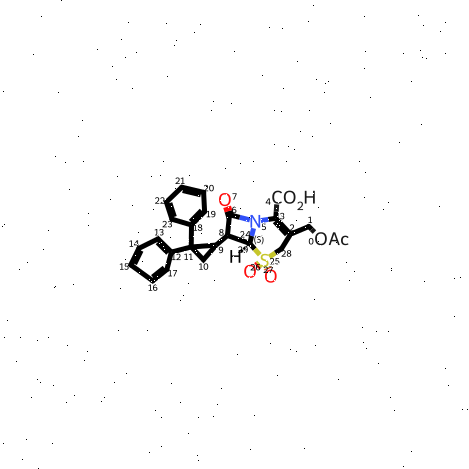 CC(=O)OCC1=C(C(=O)O)N2C(=O)C(C3CC3(c3ccccc3)c3ccccc3)[C@@H]2S(=O)(=O)C1